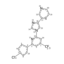 FC(F)(F)c1cc(-c2ccc(Cl)cc2)nc(-n2cnc(-c3cccnc3)c2)c1